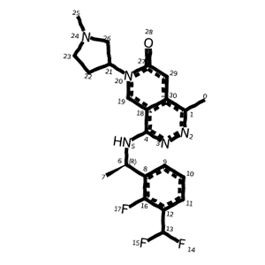 Cc1nnc(N[C@H](C)c2cccc(C(F)F)c2F)c2cn(C3CCN(C)C3)c(=O)cc12